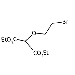 CCOC(=O)C(OCCBr)C(=O)OCC